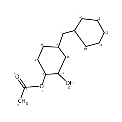 CC(=O)OC1CCC(CC2CCCCC2)CC1O